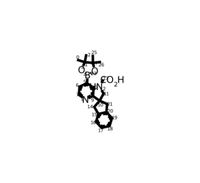 CC1(C)OB(c2ccnc(C3(CNC(=O)O)Cc4ccccc4C3)c2)OC1(C)C